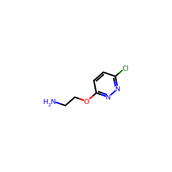 NCCOc1ccc(Cl)nn1